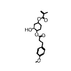 C=C(C)C(=O)OC1CCC(OC(=O)CCc2ccc(OC)cc2)C(O)C1